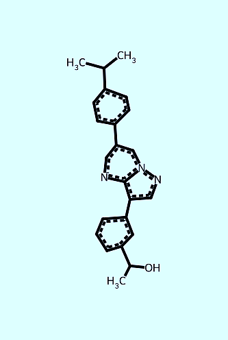 CC(C)c1ccc(-c2cnc3c(-c4cccc(C(C)O)c4)cnn3c2)cc1